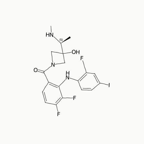 CN[C@@H](C)C1(O)CN(C(=O)c2ccc(F)c(F)c2Nc2ccc(I)cc2F)C1